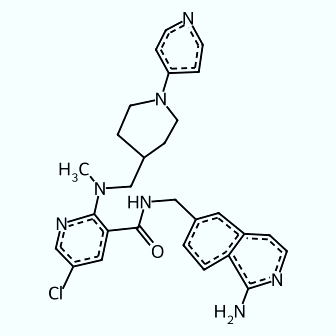 CN(CC1CCN(c2ccncc2)CC1)c1ncc(Cl)cc1C(=O)NCc1ccc2c(N)nccc2c1